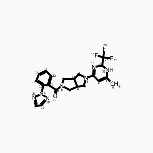 CC1=CC(N2CC3CN(C(=O)c4ccccc4-n4nccn4)CC3C2)=NC(C(F)(F)F)N1